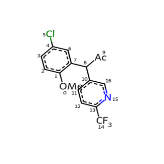 COc1ccc(Cl)cc1C(C(C)=O)c1ccc(C(F)(F)F)nc1